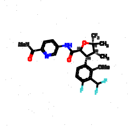 CNC(=O)c1ccc(NC(=O)[C@H]2O[C@](C)(C(F)(F)F)[C@H](C)[C@@H]2c2ccc(F)c(C(F)F)c2OC)cn1